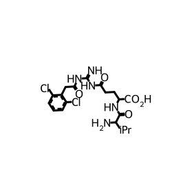 CC(C)C(N)C(=O)NC(CCC(=O)NC(=N)NC(=O)Cc1c(Cl)cccc1Cl)C(=O)O